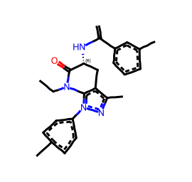 C=C(N[C@@H]1Cc2c(C)nn(-c3ccc(C)cc3)c2N(CC)C1=O)c1cccc(C)c1